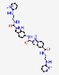 C[n+]1ccccc1NCCNC(=O)c1ccc2[nH]c(C(=O)Nc3ccc4cc(C(=O)NCCNc5cccc[n+]5C)[nH]c4c3)cc2c1